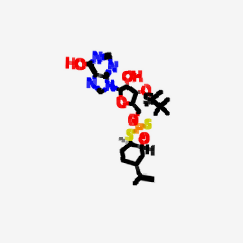 C=C(C)[C@H]1CC[C@@]2(C)SP(=S)(OC[C@H]3O[C@@H](n4cnc5c(O)ncnc54)[C@H](O)[C@@H]3O[Si](C)(C)C(C)(C)C)O[C@@H]2C1